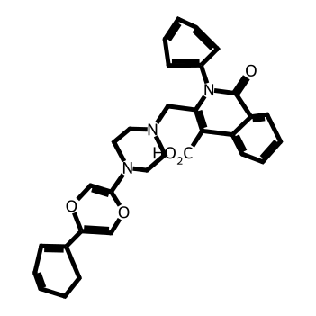 O=C(O)c1c(CN2CCN(C3=COC(C4=CC=CCC4)=CO3)CC2)n(-c2ccccc2)c(=O)c2ccccc12